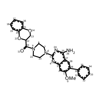 COc1cc2nc(N3CCN(C(=O)C4COc5ccccc5O4)CC3)nc(N)c2cc1-c1ccccc1